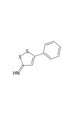 N=c1cc(-c2ccccc2)ss1